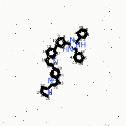 c1ccc(C2N=C(c3cccc(-c4ccc5ccc(-c6ccc7ccc(-c8ccccn8)nc7c6)nc5c4)c3)NC(c3ccccc3)N2)cc1